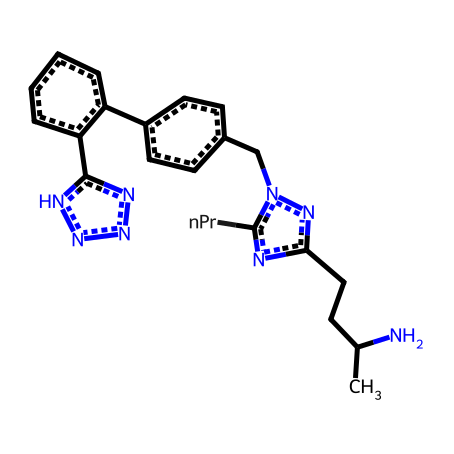 CCCc1nc(CCC(C)N)nn1Cc1ccc(-c2ccccc2-c2nnn[nH]2)cc1